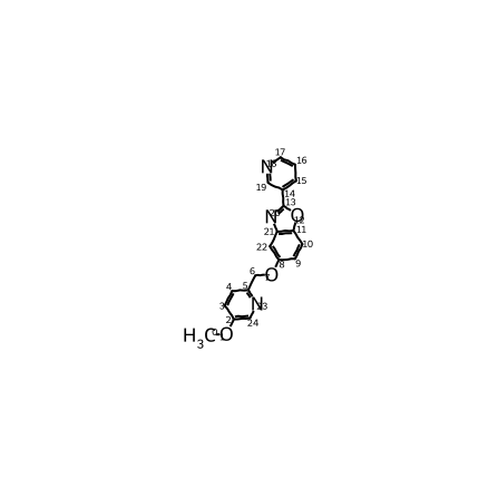 COc1ccc(COc2ccc3oc(-c4cccnc4)nc3c2)nc1